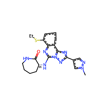 CCSc1cccc2c1nc(N[C@@H]1CCCCNC1=O)n1nc(-c3cnn(C)c3)nc21